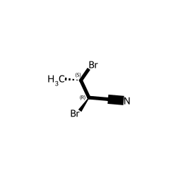 C[C@H](Br)[C@H](Br)C#N